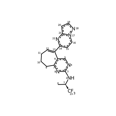 C[C@@H](Nc1ncc2c(n1)CCCC=C2c1ccn2nccc2n1)C(F)(F)F